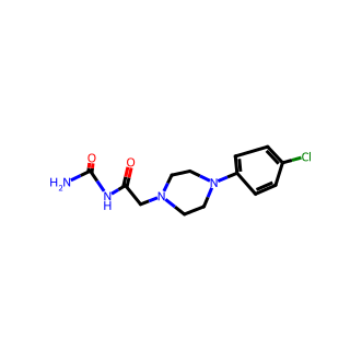 NC(=O)NC(=O)CN1CCN(c2ccc(Cl)cc2)CC1